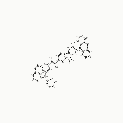 [2H]/C(=C(/[2H])c1cc2ccc3cccc4c3c2c(c1)n4-c1ccccc1)c1ccc2c(c1)C(C)(C)c1cc(N(c3ccccc3F)c3ccccc3F)ccc1-2